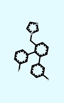 Fc1cccc(-c2cccc(Cn3ccnc3)c2-c2cccc(F)c2)c1